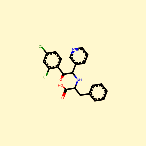 O=C(O)C(Cc1ccccc1)NC(C(=O)c1ccc(Cl)cc1Cl)c1cccnc1